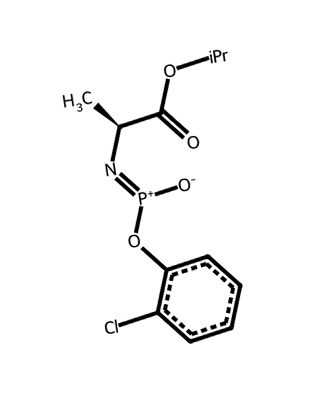 CC(C)OC(=O)[C@H](C)/N=[P+](\[O-])Oc1ccccc1Cl